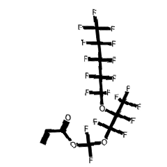 C=CC(=O)OC(F)(F)OC(F)(F)C(F)(OC(F)(F)C(F)(F)C(F)(F)C(F)(F)C(F)(F)F)C(F)(F)F